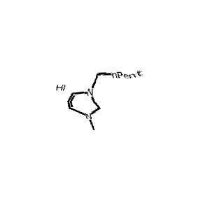 CCCCCCN1C=CN(C)C1.I